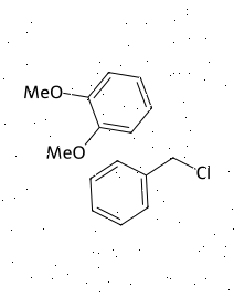 COc1ccccc1OC.ClCc1ccccc1